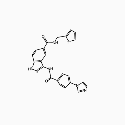 O=C(NCc1cccs1)c1ccc2[nH]nc(NC(=O)c3ccc(-n4ccnc4)cc3)c2c1